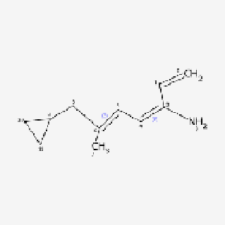 C=C/C(N)=C\C=C(/C)CC1CC1